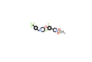 CS(=O)(=O)N1CCC(c2cc(F)c(OC3CCCN(Cc4ccc(C(F)(F)F)cc4)CC3)c(F)c2)CC1